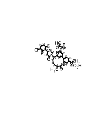 C[C@@H]1CCC[C@H](n2cnc(-c3c(F)ccc(Cl)c3F)cc2=O)c2cc(ccn2)-c2ccc(N(C)C(=O)O)cc2NC1=O.O=C(O)C(F)(F)F